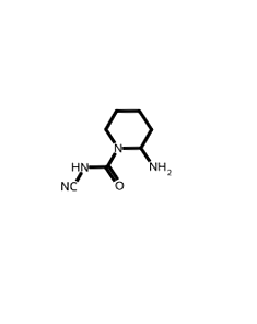 N#CNC(=O)N1CCCCC1N